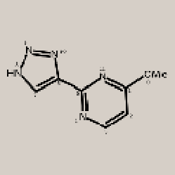 COc1ccnc(-c2c[nH]nn2)n1